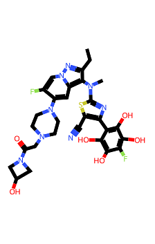 CCc1nn2cc(F)c(N3CCN(CC(=O)N4CC(O)C4)CC3)cc2c1N(C)c1nc(-c2c(O)c(O)c(F)c(O)c2O)c(C#N)s1